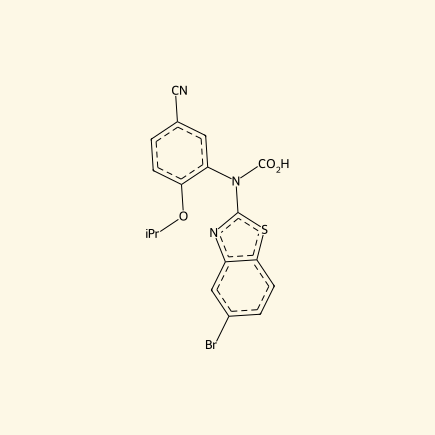 CC(C)Oc1ccc(C#N)cc1N(C(=O)O)c1nc2cc(Br)ccc2s1